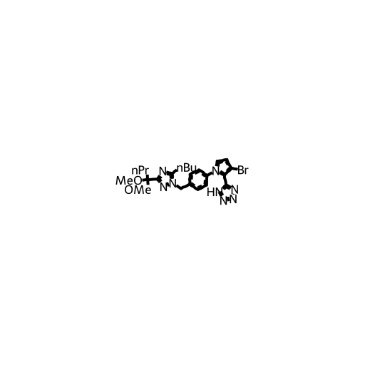 CCCCc1nc(C(CCC)(OC)OC)nn1Cc1ccc(-n2ccc(Br)c2-c2nnn[nH]2)cc1